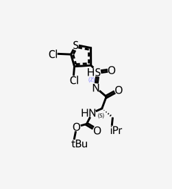 CC(C)C[C@H](NC(=O)OC(C)(C)C)C(=O)/N=[SH](=O)/c1csc(Cl)c1Cl